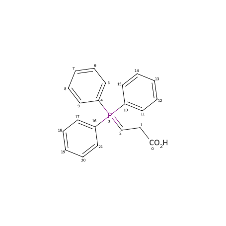 O=C(O)CC=P(c1ccccc1)(c1ccccc1)c1ccccc1